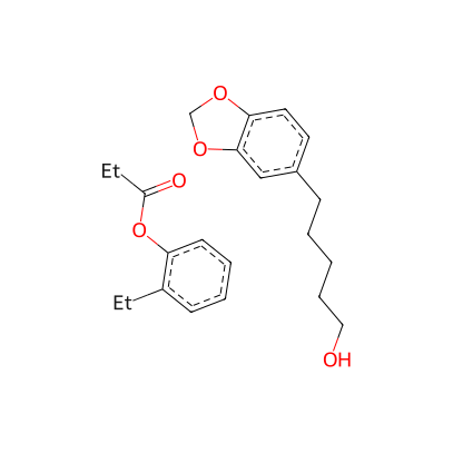 CCC(=O)Oc1ccccc1CC.OCCCCCc1ccc2c(c1)OCO2